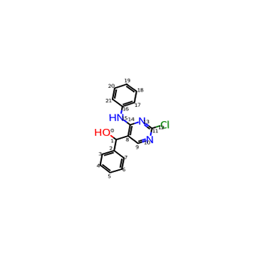 OC(c1ccccc1)c1cnc(Cl)nc1Nc1ccccc1